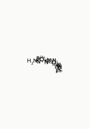 Nc1nc2cc(-c3cn(Cc4ccc(-c5nnc(C(F)F)o5)cn4)cn3)ccc2s1